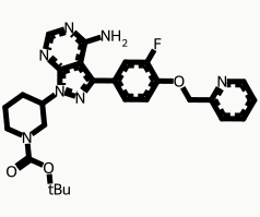 CC(C)(C)OC(=O)N1CCCC(n2nc(-c3ccc(OCc4ccccn4)c(F)c3)c3c(N)ncnc32)C1